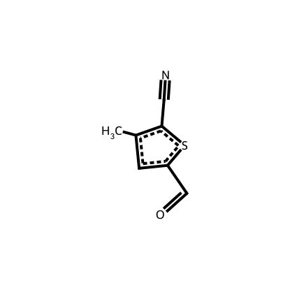 Cc1cc(C=O)sc1C#N